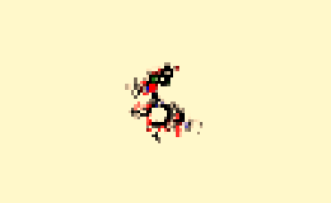 CC[C@H]1OC(=O)[C@H](C)C(O)[C@H](C)C(O[C@@H]2O[C@H](C)C[C@@H](N(C)C)C2O)[C@](C)(O)C[C@@H](C)CN(CCCNC(=O)[C@@]23OC(C)(C)O[C@@H]2CC2C4C[C@H](F)C5=CC(=O)C=C[C@]5(C)[C@@]4(F)[C@@H](O)C[C@@]23C)[C@H](C)[C@@H](O)[C@]1(C)O